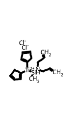 C=CCN(CC=C)[SiH](C)[Ti+2]([C]1=CC=CC1)[C]1=CC=CC1.[Cl-].[Cl-]